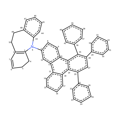 C1=CC2=C(CC1)N(c1ccc3c(c1)c1ccccc1c1c(-c4ccccc4)cc(-c4ccccc4)c(-c4ccccc4)c31)c1ccccc1CC2